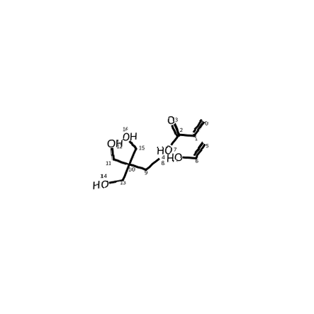 C=CC(=O)O.C=CO.CCC(CO)(CO)CO